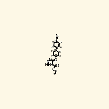 CCOC(=O)c1[nH]nnc1O[C@H]1CC[C@H](c2ccc(C#N)cc2)CC1